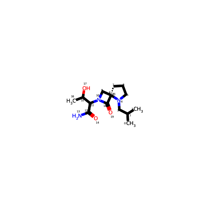 CC(C)CN1CCC[C@]12CN(C(C(N)=O)C(C)O)C2=O